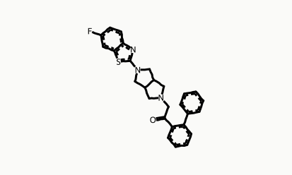 O=C(CN1CC2CN(c3nc4ccc(F)cc4s3)CC2C1)c1ccccc1-c1ccccc1